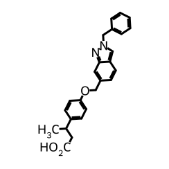 CC(CC(=O)O)c1ccc(OCc2ccc3cn(Cc4ccccc4)nc3c2)cc1